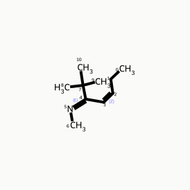 CC/C=C\C(=N/C)C(C)(C)C